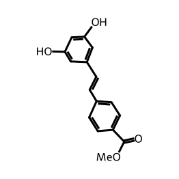 COC(=O)c1ccc(C=Cc2cc(O)cc(O)c2)cc1